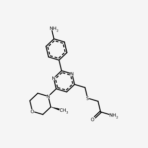 C[C@H]1COCCN1c1cc(CSCC(N)=O)nc(-c2ccc(N)cc2)n1